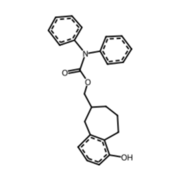 O=C(OCC1CCCc2c(O)cccc2C1)N(c1ccccc1)c1ccccc1